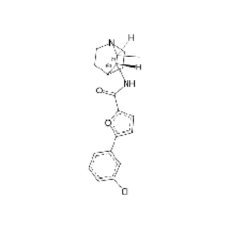 C[C@H]1[C@H](NC(=O)c2ccc(-c3cccc(Cl)c3)o2)C2CCN1CC2